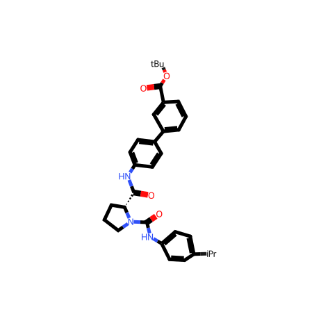 CC(C)c1ccc(NC(=O)N2CCC[C@@H]2C(=O)Nc2ccc(-c3cccc(C(=O)OC(C)(C)C)c3)cc2)cc1